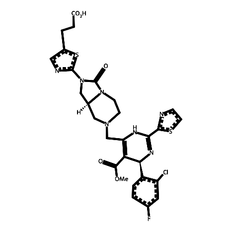 COC(=O)C1=C(CN2CCN3C(=O)N(c4ncc(CCC(=O)O)s4)C[C@@H]3C2)NC(c2nccs2)=N[C@H]1c1ccc(F)cc1Cl